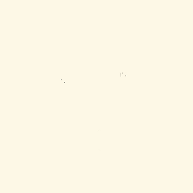 Cc1ccc(Nc2cccc3c2C(=O)c2c(Nc4ccc(C)cc4C)cccc2C3=O)c(C)c1